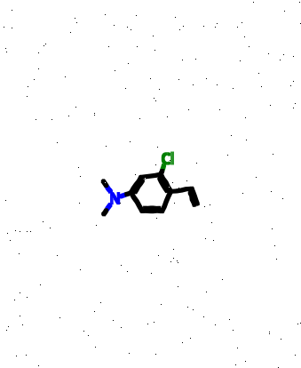 C=Cc1ccc(N(C)C)cc1Cl